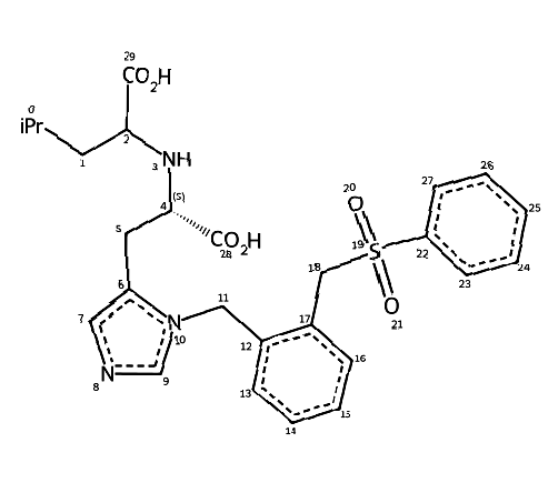 CC(C)CC(N[C@@H](Cc1cncn1Cc1ccccc1CS(=O)(=O)c1ccccc1)C(=O)O)C(=O)O